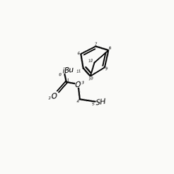 CCC(C)C(=O)OCS.c1cc2cc(c1)C2